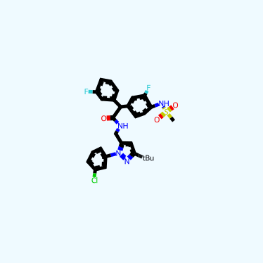 CC(C)(C)c1cc(CNC(=O)C(c2cccc(F)c2)c2ccc(NS(C)(=O)=O)c(F)c2)n(-c2cccc(Cl)c2)n1